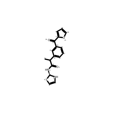 CC(C(=O)N[C@H]1NC=CS1)c1cccc(C(=O)c2ccco2)c1